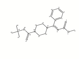 COC(=O)/N=C(\c1ccccc1)N1CCN(C(=O)OC(C)(C)C)CC1